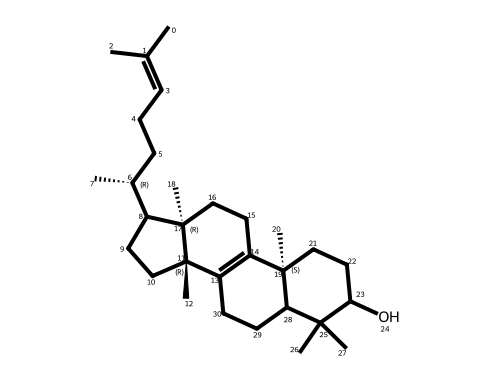 CC(C)=CCC[C@@H](C)C1CC[C@@]2(C)C3=C(CC[C@]12C)[C@@]1(C)CCC(O)C(C)(C)C1CC3